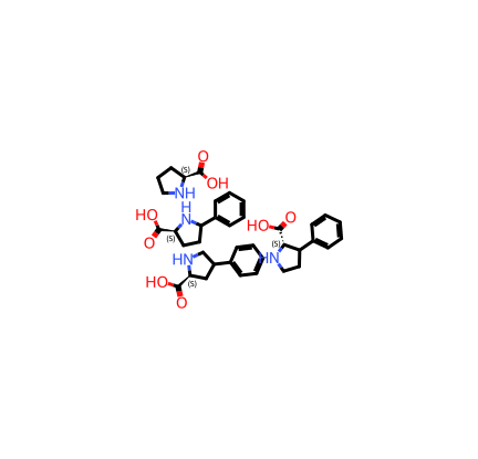 O=C(O)[C@@H]1CC(c2ccccc2)CN1.O=C(O)[C@@H]1CCC(c2ccccc2)N1.O=C(O)[C@@H]1CCCN1.O=C(O)[C@H]1NCCC1c1ccccc1